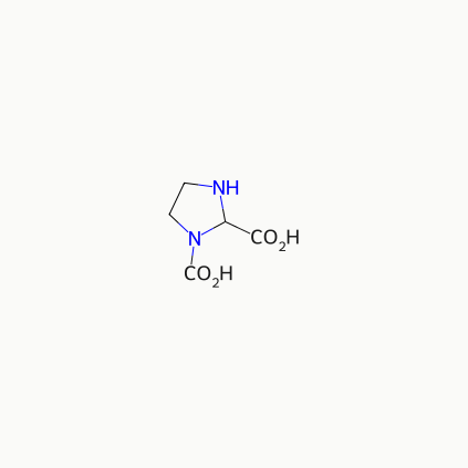 O=C(O)C1NCCN1C(=O)O